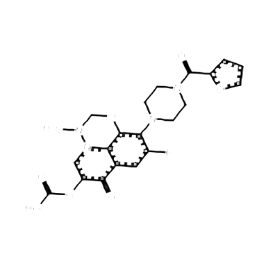 CN1COc2c(N3CCN(C(=O)c4ccco4)CC3)c(F)cc3c(=O)c(OC(=O)O)cn1c23